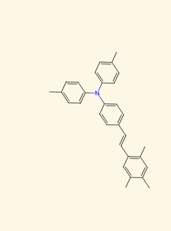 Cc1ccc(N(c2ccc(C)cc2)c2ccc(C=Cc3cc(C)c(C)cc3C)cc2)cc1